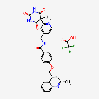 Cc1cc(COc2ccc(C(=O)NCc3ccnc(C4(C)C(=O)NC(=O)NC4=O)c3)cc2)c2ccccc2n1.O=C(O)C(F)(F)F